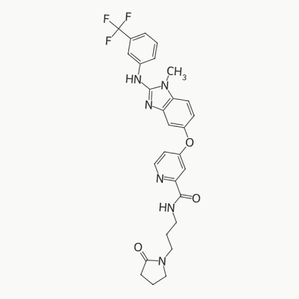 Cn1c(Nc2cccc(C(F)(F)F)c2)nc2cc(Oc3ccnc(C(=O)NCCCN4CCCC4=O)c3)ccc21